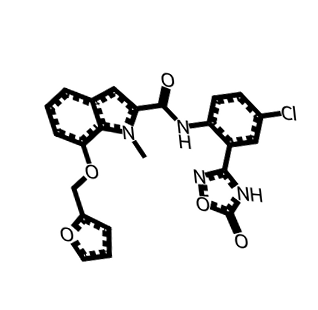 Cn1c(C(=O)Nc2ccc(Cl)cc2-c2noc(=O)[nH]2)cc2cccc(OCc3ccco3)c21